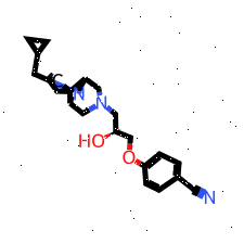 N#Cc1ccc(OC[C@@H](O)CN2CC3CN(CC4CC4)CC(C2)C32CCCC2)cc1